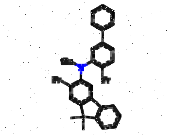 CC(C)c1ccc(-c2ccccc2)cc1N(c1cc2c(cc1C(C)C)C(C)(C)c1ccccc1-2)C(C)(C)C